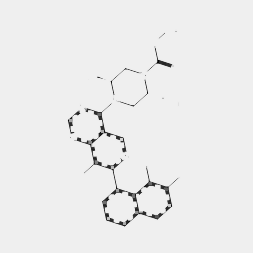 C[C@@H]1CN(c2ncnc3c(F)c(-c4cccc5ccc(F)c(Cl)c45)ncc23)[C@@H](C)CN1C(=O)OC(C)(C)C